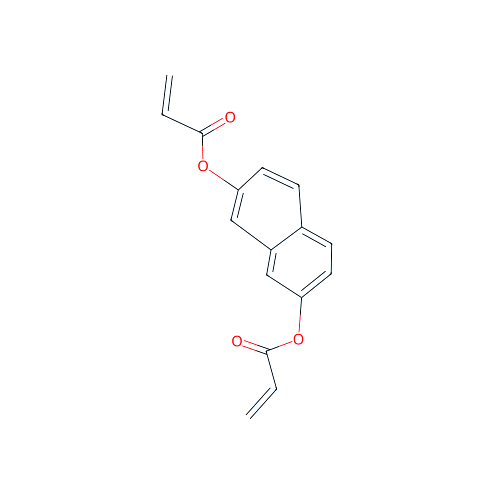 C=CC(=O)Oc1ccc2ccc(OC(=O)C=C)cc2c1